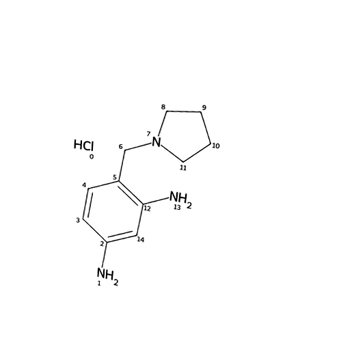 Cl.Nc1ccc(CN2CCCC2)c(N)c1